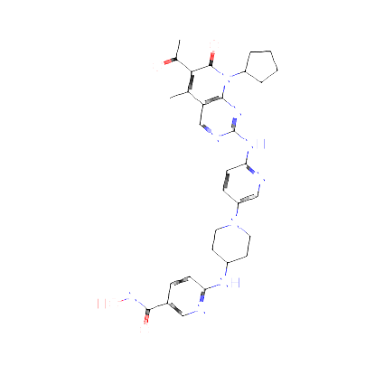 CC(=O)c1c(C)c2cnc(Nc3ccc(N4CCC(Nc5ccc(C(=O)NO)cn5)CC4)cn3)nc2n(C2CCCC2)c1=O